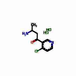 CC(N)CC(=O)c1cnccc1Cl.Cl.Cl